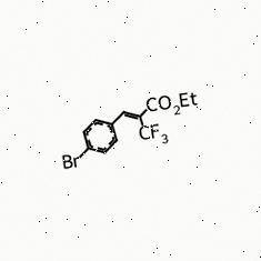 CCOC(=O)C(=Cc1ccc(Br)cc1)C(F)(F)F